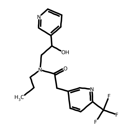 CCCN(CC(O)c1cccnc1)C(=O)Cc1ccc(C(F)(F)F)nc1